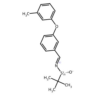 Cc1cccc(Oc2cccc(/C=N/[S@+]([O-])C(C)(C)C)c2)c1